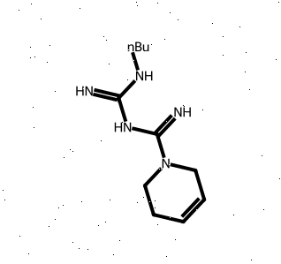 CCCCNC(=N)NC(=N)N1CC=CCC1